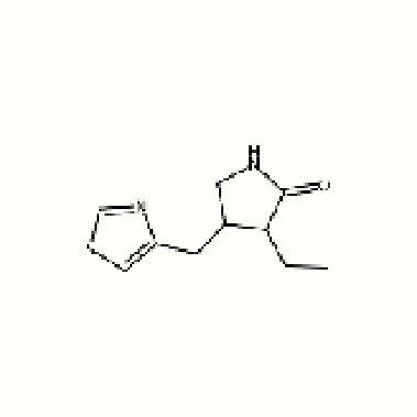 CCC1C(=O)NCC1Cc1cscn1